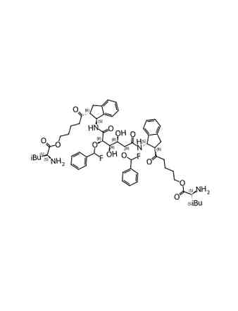 CC[C@H](C)[C@H](N)C(=O)OCCCCC(=O)[C@@H]1Cc2ccccc2[C@H]1NC(=O)[C@H](OC(F)c1ccccc1)[C@H](O)[C@@H](O)[C@@H](OC(F)c1ccccc1)C(=O)N[C@@H]1c2ccccc2C[C@H]1C(=O)CCCCOC(=O)[C@@H](N)[C@@H](C)CC